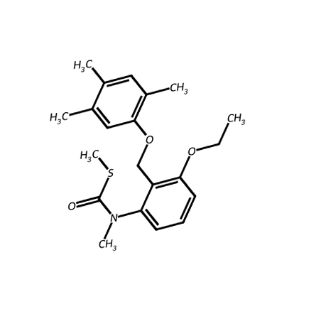 CCOc1cccc(N(C)C(=O)SC)c1COc1cc(C)c(C)cc1C